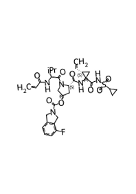 C=CC(=O)NC(C(=O)N1C[C@H](OC(=O)N2Cc3cccc(F)c3C2)C[C@H]1C(=O)N[C@]1(C(=O)NS(=O)(=O)C2CC2)C[C@H]1C=C)C(C)C